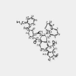 C1=CNc2ccccc2C=C1.Cc1ccccc1Nc1ccc(C(=O)C2=c3ccc4c(c3CCC2)C(O)C=c2c(F)cccc2=4)c(Cl)c1